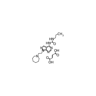 CCCNC(=O)Nc1ncnc2c1cnn2CCN1CCCCCC1.O=C(O)C=CC(=O)O